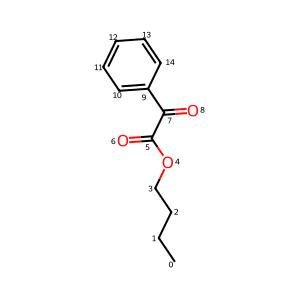 CCCCOC(=O)C(=O)c1ccccc1